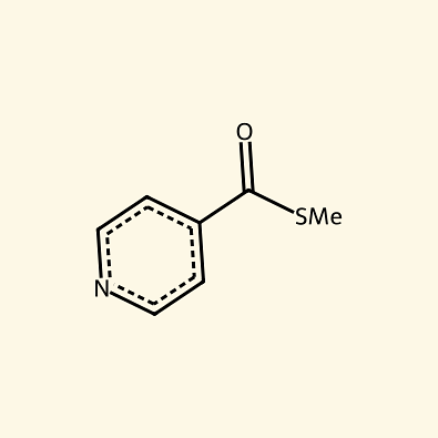 CSC(=O)c1ccncc1